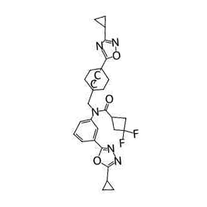 O=C(C1CC(F)(F)C1)N(CC12CCC(c3nc(C4CC4)no3)(CC1)CC2)c1cccc(-c2nnc(C3CC3)o2)c1